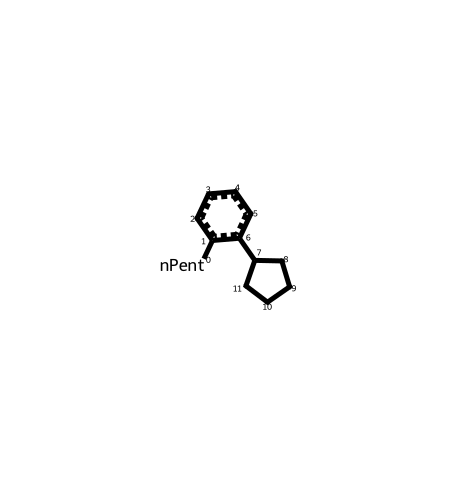 CCCCCc1ccccc1C1CCCC1